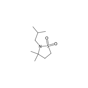 CC(C)CN1C(C)(C)CCS1(=O)=O